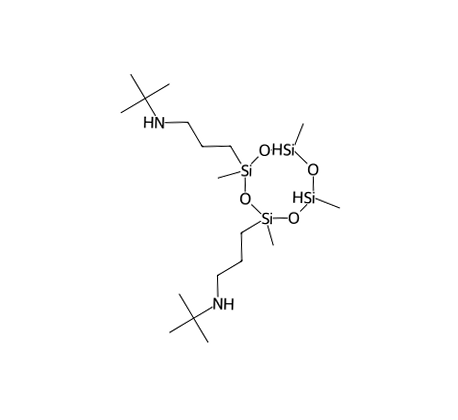 C[SiH]1O[SiH](C)O[Si](C)(CCCNC(C)(C)C)O[Si](C)(CCCNC(C)(C)C)O1